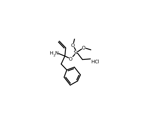 C=CC(N)(Cc1ccccc1)O[Si](CC)(OC)OC.Cl